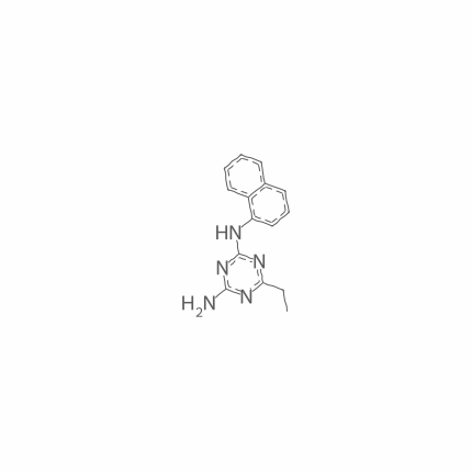 CCc1nc(N)nc(Nc2cccc3ccccc23)n1